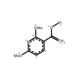 C=C(OCC)c1ccc(OC)nc1OC